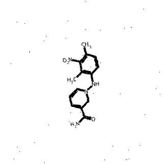 Cc1ccc(NN2C=CC=C(C(N)=O)C2)c(C)c1[N+](=O)[O-]